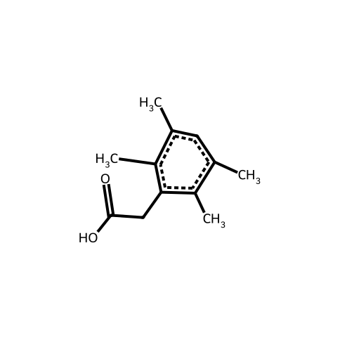 Cc1cc(C)c(C)c(CC(=O)O)c1C